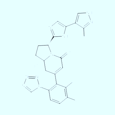 O=C1C=C(c2c(-n3cnnn3)ccc(Cl)c2F)C[C@H]2CC[C@@H](c3ncc(-c4c[nH]nc4F)[nH]3)N12